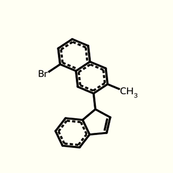 Cc1cc2cccc(Br)c2cc1C1C=Cc2ccccc21